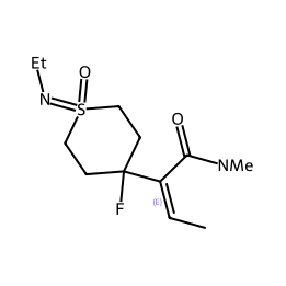 C/C=C(\C(=O)NC)C1(F)CCS(=O)(=NCC)CC1